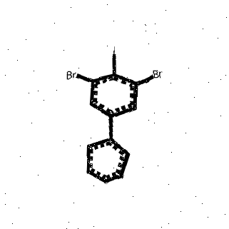 Brc1cc(-c2ccccc2)cc(Br)c1I